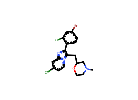 CN1CCOC(Cc2c(-c3ccc(Br)cc3Cl)nc3cc(Cl)ccn23)C1